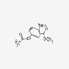 COC(=O)c1cc(OC(C)=O)ccc1N